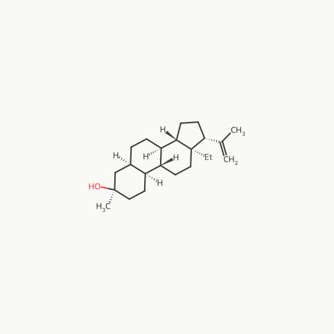 C=C(C)[C@H]1CC[C@H]2[C@@H]3CC[C@@H]4C[C@](C)(O)CC[C@@H]4[C@H]3CC[C@]12CC